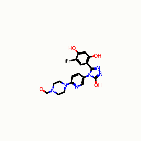 CC(C)c1cc(-c2nnc(O)n2-c2ccc(N3CCN(C[O])CC3)nc2)c(O)cc1O